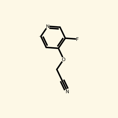 N#CCOc1c[c]ncc1F